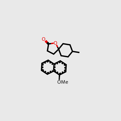 CC1CCC2(CCC(=O)O2)CC1.COc1cccc2ccccc12